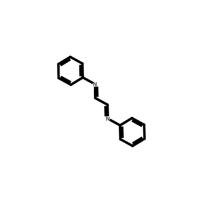 C(/C=N/c1ccccc1)=N\c1ccccc1